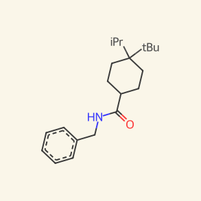 CC(C)C1(C(C)(C)C)CCC(C(=O)NCc2ccccc2)CC1